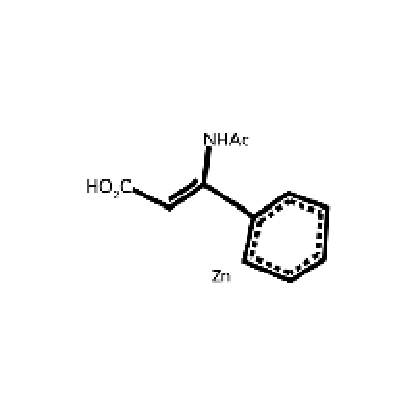 CC(=O)NC(=CC(=O)O)c1ccccc1.[Zn]